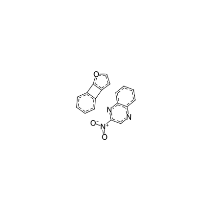 O=[N+]([O-])c1cnc2ccccc2n1.c1ccc2c(c1)-c1ccoc1-2